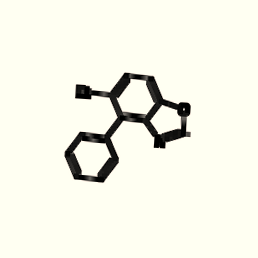 CCc1ccc2o[c]nc2c1-c1ccccc1